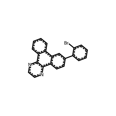 Brc1ccccc1-c1ccc2c(c1)c1ccccc1c1nccnc21